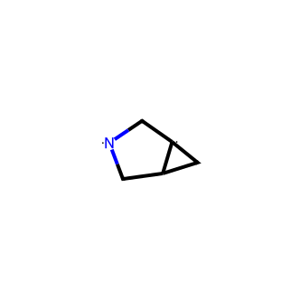 C1[N]CC2C[C]12